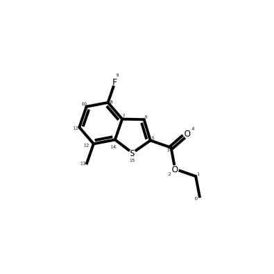 CCOC(=O)c1cc2c(F)ccc(C)c2s1